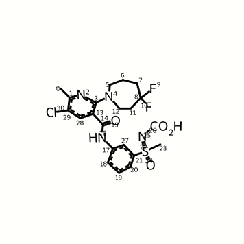 Cc1nc(N2CCCC(F)(F)CC2)c(C(=O)Nc2cccc(S(C)(=O)=NC(=O)O)c2)cc1Cl